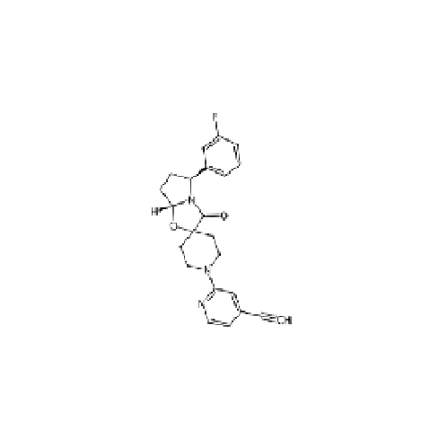 C#Cc1ccnc(N2CCC3(CC2)O[C@@H]2CC[C@@H](c4cccc(F)c4)N2C3=O)c1